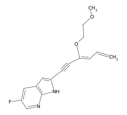 C=C/C=C(/C#Cc1cc2cc(F)cnc2[nH]1)OCCOC